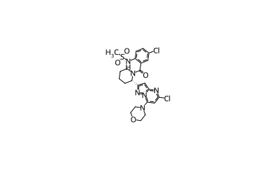 CS(=O)(=O)Nc1ccc(Cl)cc1C(=O)N1CCCC[C@H]1c1cc2nc(Cl)cc(N3CCOCC3)n2n1